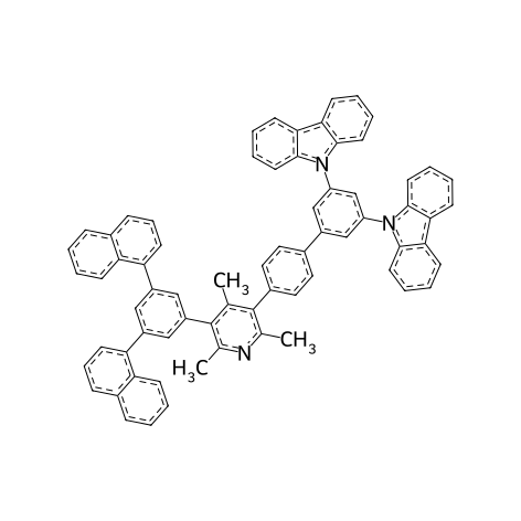 Cc1nc(C)c(-c2cc(-c3cccc4ccccc34)cc(-c3cccc4ccccc34)c2)c(C)c1-c1ccc(-c2cc(-n3c4ccccc4c4ccccc43)cc(-n3c4ccccc4c4ccccc43)c2)cc1